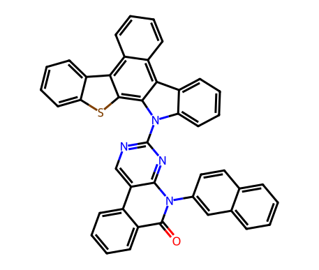 O=c1c2ccccc2c2cnc(-n3c4ccccc4c4c5ccccc5c5c6ccccc6sc5c43)nc2n1-c1ccc2ccccc2c1